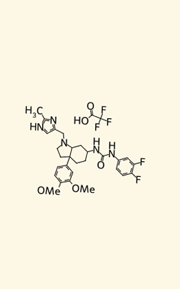 COc1ccc(C23CCC(NC(=O)Nc4ccc(F)c(F)c4)CC2N(Cc2c[nH]c(C)n2)CC3)cc1OC.O=C(O)C(F)(F)F